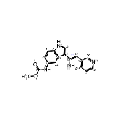 COC(=O)Nc1ccc2[nH]cc(/C(N)=C/c3cccnc3)c2c1